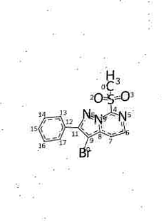 CS(=O)(=O)c1nccc2c(Br)c(-c3ccccc3)nn12